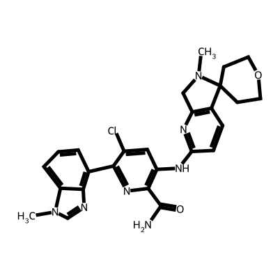 CN1Cc2nc(Nc3cc(Cl)c(-c4cccc5c4ncn5C)nc3C(N)=O)ccc2C12CCOCC2